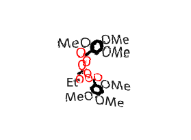 [CH2]COC[C](OOC(=O)c1cc(OC)c(OC)cc1OC)OOC(=O)c1cc(OC)c(OC)cc1OC